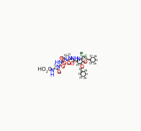 O=C(O)NC1CN(C(=O)NS(=O)(=O)N2CCN(NC(=O)c3cc(OCc4ccccc4)c(OCc4ccccc4)c(C(F)F)n3)C2=O)C1=O